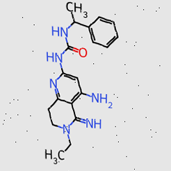 CCN1CCc2nc(NC(=O)NC(C)c3ccccc3)cc(N)c2C1=N